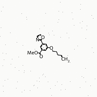 C=CCCCOc1cc(C(=O)OC)cc(-c2ncco2)c1